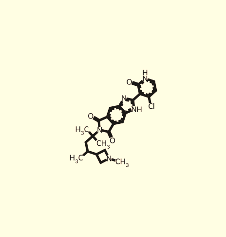 CC(CC(C)(C)N1C(=O)c2cc3nc(-c4c(Cl)cc[nH]c4=O)[nH]c3cc2C1=O)C1CN(C)C1